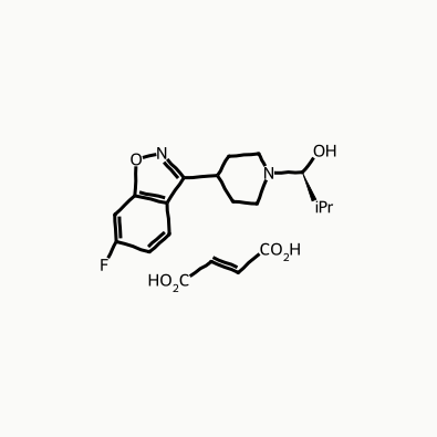 CC(C)[C@H](O)N1CCC(c2noc3cc(F)ccc23)CC1.O=C(O)/C=C/C(=O)O